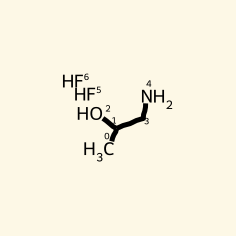 CC(O)CN.F.F